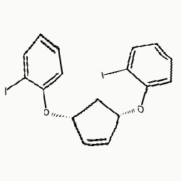 Ic1ccccc1O[C@@H]1C=C[C@H](Oc2ccccc2I)C1